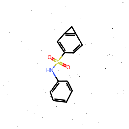 O=S(=O)(Nc1ccccc1)c1ccc2c(c1)C2